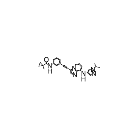 CC(C)n1cc(Nc2cccn3c(C#Cc4cccc(NC(=O)C5(C)CC5)c4)cnc23)cn1